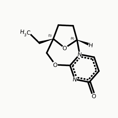 CC[C@@]12CC[C@@H](O1)n1ccc(=O)nc1OC2